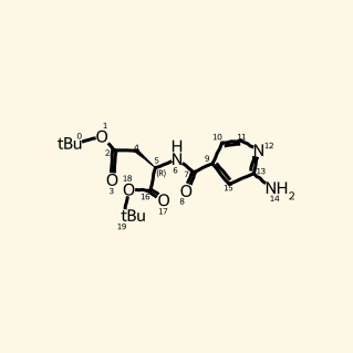 CC(C)(C)OC(=O)C[C@@H](NC(=O)c1ccnc(N)c1)C(=O)OC(C)(C)C